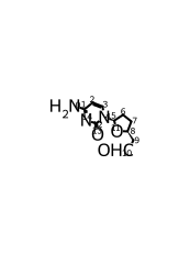 Nc1ccn([C@H]2CC[C@@H](CC=O)O2)c(=O)n1